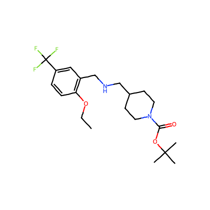 CCOc1ccc(C(F)(F)F)cc1CNCC1CCN(C(=O)OC(C)(C)C)CC1